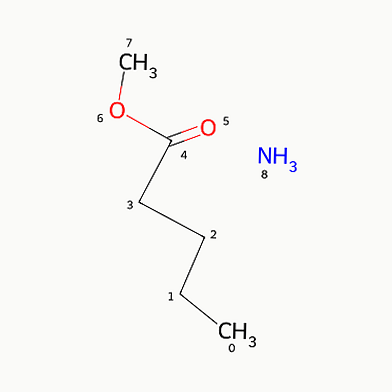 CCCCC(=O)OC.N